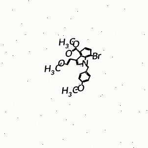 CO/C=C/c1cn(Cc2ccc(OC)cc2)c2c(Br)ccc(C(=O)OC)c12